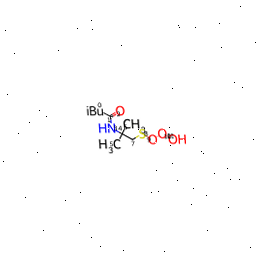 CCC(C)C(=O)NC(C)(C)CSOOO